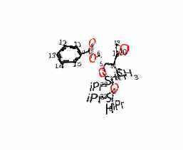 CC(C)[SiH](O[Si](O[C@H](COC(=O)c1ccccc1)[C@@H](C)[C@H]1CO1)(C(C)C)C(C)C)C(C)C